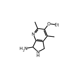 CCOc1c(C)nc2c(c1C)CNC2N